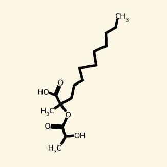 CCCCCCCCCCC(C)(OC(=O)C(C)O)C(=O)O